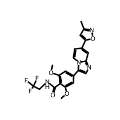 COc1cc(-c2cnc3cc(-c4cc(C)no4)ccn23)cc(OC)c1C(=O)NCC(F)(F)F